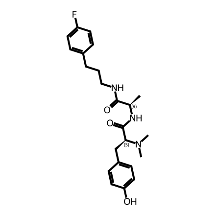 C[C@@H](NC(=O)[C@H](Cc1ccc(O)cc1)N(C)C)C(=O)NCCCc1ccc(F)cc1